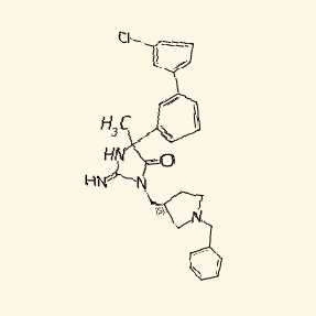 CC1(c2cccc(-c3cccc(Cl)c3)c2)NC(=N)N(C[C@H]2CCN(Cc3ccccc3)C2)C1=O